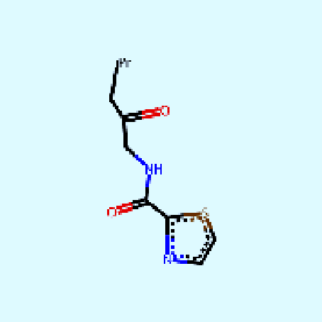 CC(C)CC(=O)CNC(=O)c1nccs1